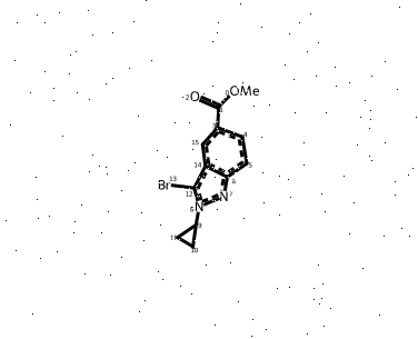 COC(=O)c1ccc2nn(C3CC3)c(Br)c2c1